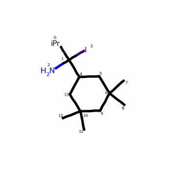 CC(C)C(N)(I)C1CC(C)(C)CC(C)(C)C1